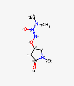 CCN1C[C@H](O/N=[N+](\[O-])N(C)C(C)(C)C)CC1=O